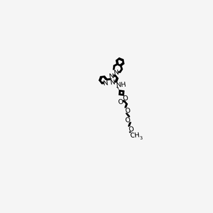 CCOCCOCCOCCC(=O)O[C@H]1C[C@H](CNc2cc(N3CCc4ccccc4CC3)nc(-c3ccccn3)n2)C1